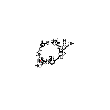 C=C1CC2CCC(=O)C[C@H]3OC(CO)[C@@H](OC4CCC(CC(=O)CC5[C@@H](OC)C(CC(O)CO)O[C@H]5CC5O[C@@H](CCC1O2)C[C@@H](C)C5=C)O[C@@H]4S)C3O